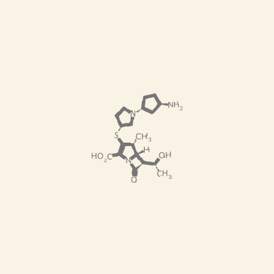 C[C@@H](O)[C@H]1C(=O)N2C(C(=O)O)=C(S[C@@H]3CCN([C@@H]4CC[C@@H](N)C4)C3)[C@H](C)[C@H]12